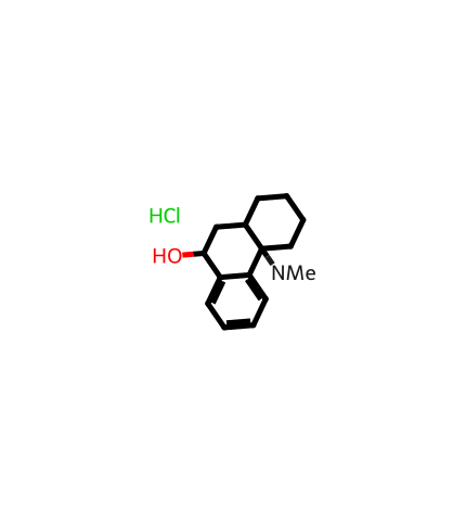 CNC12CCCCC1CC(O)c1ccccc12.Cl